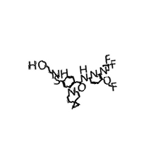 O=C(Nc1ccc(OCF)c(N2CC(F)(F)C2)n1)c1ccc(SNCCO)cc1N1CCC2(CC1)CC2